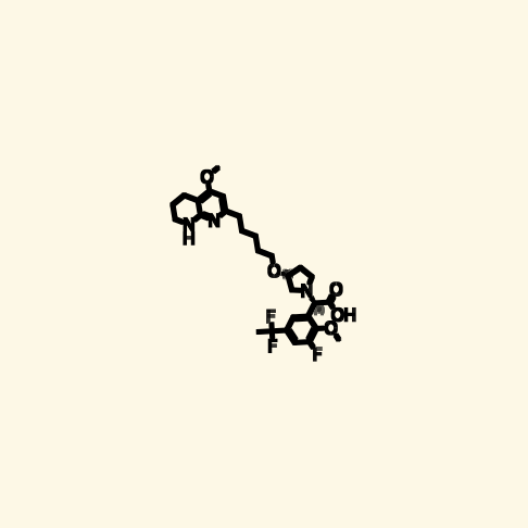 COc1cc(CCCCCO[C@@H]2CCN([C@@H](C(=O)O)c3cc(C(C)(F)F)cc(F)c3OC)C2)nc2c1CCCN2